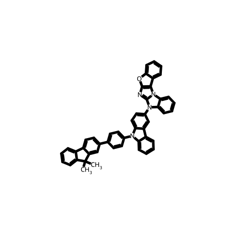 CC1(C)c2ccccc2-c2ccc(-c3ccc(-n4c5ccccc5c5cc(-n6c7ccccc7n7c8c(nc67)oc6ccccc68)ccc54)cc3)cc21